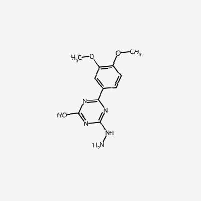 COc1ccc(-c2nc(O)nc(NN)n2)cc1OC